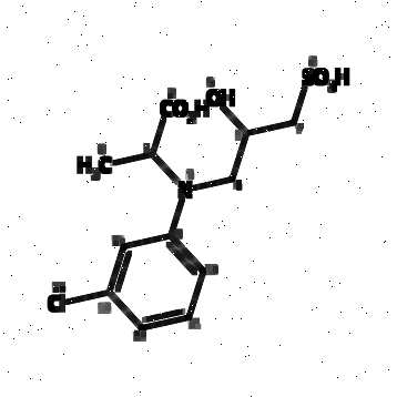 CC(C(=O)O)N(CC(O)CS(=O)(=O)O)c1cccc(Cl)c1